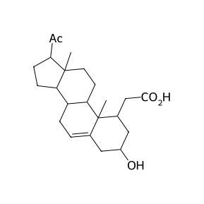 CC(=O)C1CCC2C3CC=C4CC(O)CC(CC(=O)O)C4(C)C3CCC12C